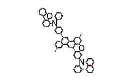 Cc1ccc2c(-c3ccc(N(c4ccccc4)c4cccc5c4oc4ccccc45)cc3)cc3c4cc(C)cc5c4c(cc3c2c1)-c1ccc(N(c2ccccc2)c2ccccc2-c2ccccc2)cc1O5